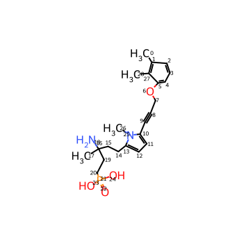 Cc1cccc(OCC#Cc2ccc(CCC(C)(N)CCP(=O)(O)O)n2C)c1C